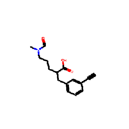 C#Cc1cccc(CC(CCCN(C)C=O)C(=O)O)c1